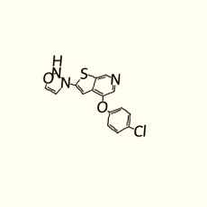 Clc1ccc(Oc2cncc3sc(N4C=CON4)cc23)cc1